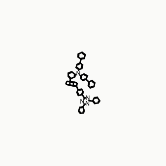 c1ccc(-c2ccc(N(c3ccc(-c4ccccc4)cc3)c3cccc(C45C6C7C4C4C5C6C74c4ccc(-c5nc(-c6ccccc6)nc(-c6ccccc6)n5)cc4)c3)cc2)cc1